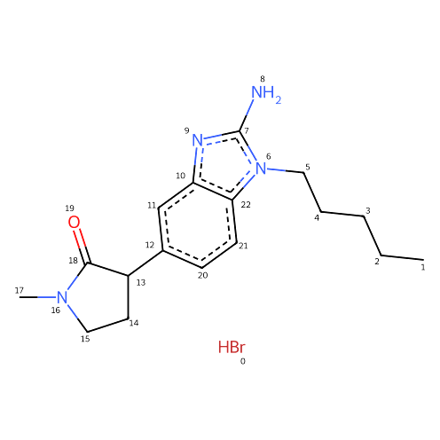 Br.CCCCCn1c(N)nc2cc(C3CCN(C)C3=O)ccc21